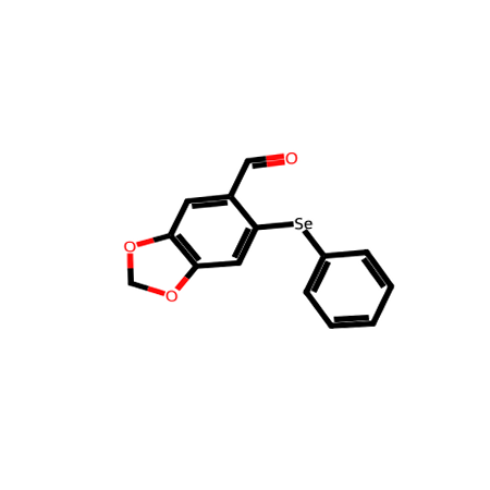 O=Cc1cc2c(cc1[Se]c1ccccc1)OCO2